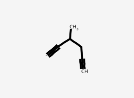 [C]#CC(C)CC#C